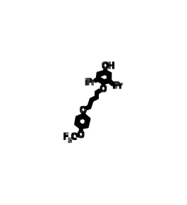 CC(C)c1cc(O)cc(C(C)C)c1OCCCCOc1ccc(OC(F)(F)F)cc1